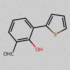 O=Cc1cccc(-c2cccs2)c1O